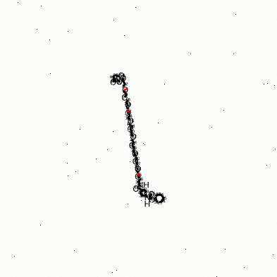 O=C(CCOCCOCCOCCOCCOCCOCCOCCOCCOCCOCCOCCOCCNC(=O)c1ccc(NC(=O)OC2CC/C=C\CCC2)cc1)ON1C(=O)CCC1=O